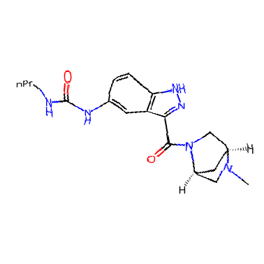 CCCNC(=O)Nc1ccc2[nH]nc(C(=O)N3C[C@@H]4C[C@H]3CN4C)c2c1